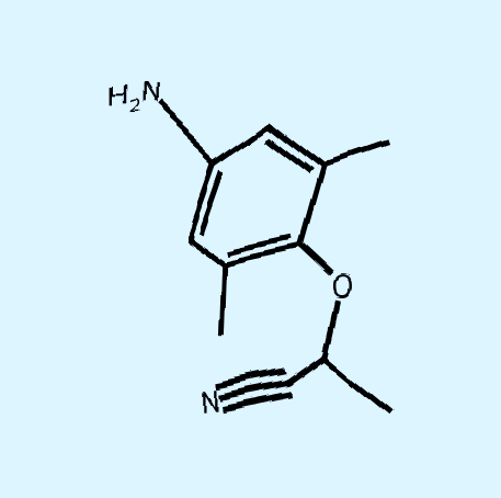 Cc1cc(N)cc(C)c1OC(C)C#N